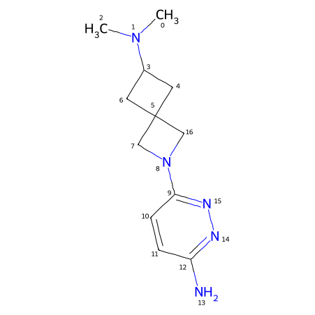 CN(C)C1CC2(C1)CN(c1ccc(N)nn1)C2